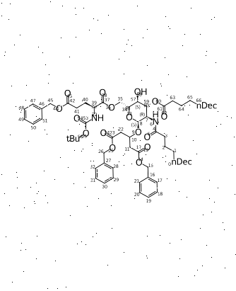 CCCCCCCCCCCCCC(=O)N[C@H]1[C@@H](OC(CC(=O)OCc2ccccc2)CC(=O)OCc2ccccc2)O[C@H](COC(=O)[C@H](CCC(=O)OCc2ccccc2)NC(=O)OC(C)(C)C)[C@@H](O)[C@@H]1OC(=O)CCCCCCCCCCCCC